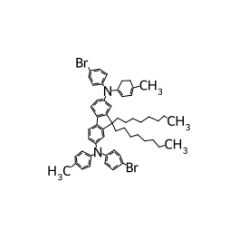 CCCCCCCCC1(CCCCCCCC)c2cc(N(C3=CC=C(C)CC3)c3ccc(Br)cc3)ccc2-c2ccc(N(c3ccc(C)cc3)c3ccc(Br)cc3)cc21